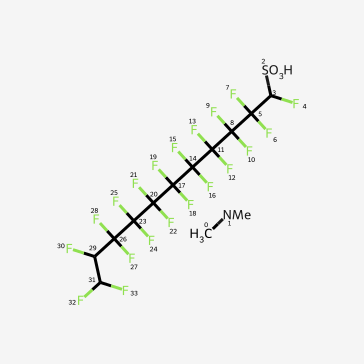 CNC.O=S(=O)(O)C(F)C(F)(F)C(F)(F)C(F)(F)C(F)(F)C(F)(F)C(F)(F)C(F)(F)C(F)(F)C(F)C(F)F